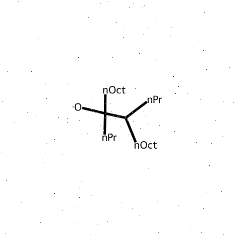 CCCCCCCCC(CCC)C([O])(CCC)CCCCCCCC